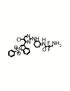 NCC(F)(F)C(=O)N[C@H]1CCC[C@@H](Nc2ncc(Cl)c(-c3cn(S(=O)(=O)c4ccccc4)c4ccccc34)n2)C1